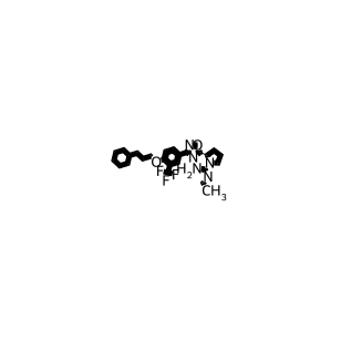 CC/N=C(\N)N1CCC[C@H]1c1nc(-c2ccc(OCCCC3CCCCC3)c(C(F)(F)F)c2)no1